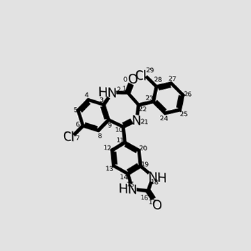 O=C1Nc2ccc(Cl)cc2C(c2ccc3[nH]c(=O)[nH]c3c2)=NC1c1ccccc1Cl